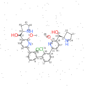 COc1nc(-c2cccc(-c3cccc(-c4ccc(C(O)[C@H]5CCCN5)c(OC)n4)c3Cl)c2Cl)ccc1C(O)[C@H]1CCCN1